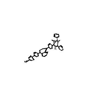 CN1C(C2=CCCC=C2)NC(c2ccc(C3CCC(c4ccc(-c5ccc(C#N)cc5)cc4)c4ccccc43)cc2)N(C)C1c1ccccc1